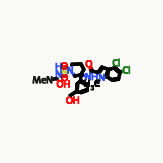 CNC(O)NS(=O)(=O)N1CCCC(NC(=O)c2cc3c(Cl)c(Cl)ccc3n2C)(c2cccc(CO)c2)C1